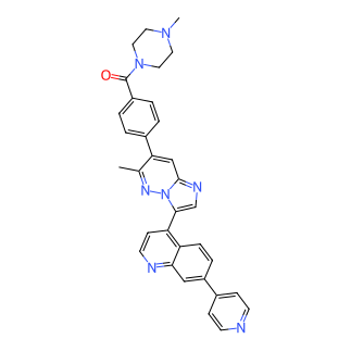 Cc1nn2c(-c3ccnc4cc(-c5ccncc5)ccc34)cnc2cc1-c1ccc(C(=O)N2CCN(C)CC2)cc1